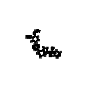 CC(C)Oc1ccc(-c2nc(-c3cccc4c3CCC4NC(=O)N3CCOCC3)no2)cc1C#N